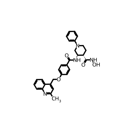 Cc1cc(COc2ccc(C(=O)N[C@@H]3CN(c4ccccc4)CC[C@@H]3C(=O)NO)cc2)c2ccccc2n1